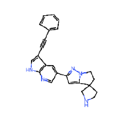 C(#Cc1c[nH]c2ncc(-c3cc4n(n3)CCC43CCNC3)cc12)c1ccccc1